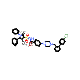 CCOC(=O)c1c(S(=O)(=O)NC(=O)c2ccc(N3CCN(Cc4ccccc4-c4ccc(Cl)cc4)CC3)cc2)c(C)n(-c2ccccc2)c1-c1ccccc1